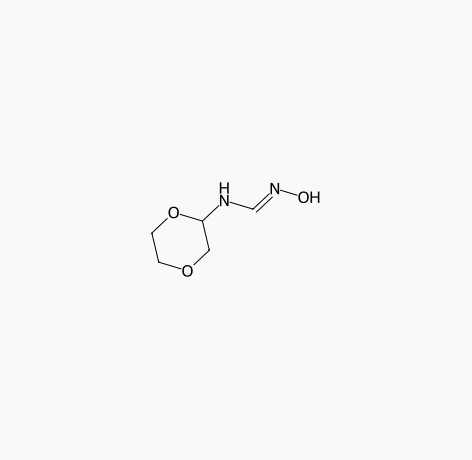 ON=CNC1COCCO1